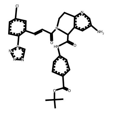 CC(C)(C)OC(=O)c1ccc(NC(=O)C2c3cc(N)cnc3CCN2C(=O)/C=C/c2cc(Cl)ccc2-n2cnnn2)cc1